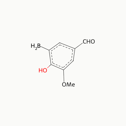 Bc1cc(C=O)cc(OC)c1O